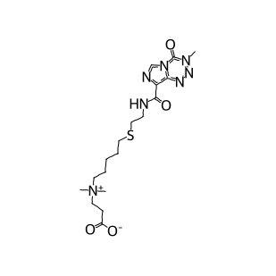 Cn1nnc2c(C(=O)NCCSCCCCC[N+](C)(C)CCC(=O)[O-])ncn2c1=O